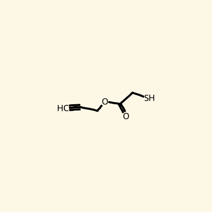 C#CCOC(=O)CS